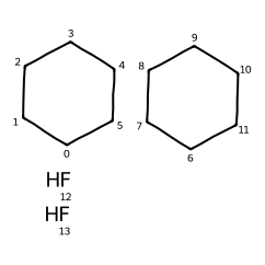 C1CCCCC1.C1CCCCC1.F.F